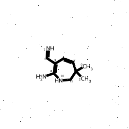 CC1(C)C=CC(C=N)=C(N)NC1